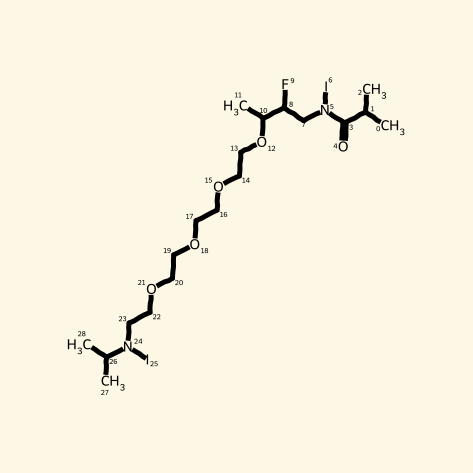 CC(C)C(=O)N(I)CC(F)C(C)OCCOCCOCCOCCN(I)C(C)C